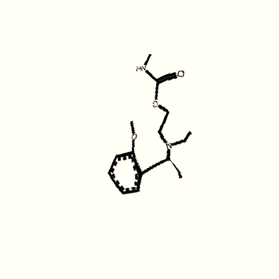 CCN(CCOC(=O)NC)[C@@H](C)c1ccccc1OC